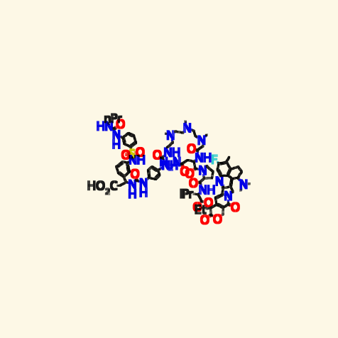 CCCNC(=O)Nc1cccc(S(=O)(=O)Nc2cccc(C(CC(=O)O)NC(=O)Nc3ccc(NC(=O)NCCN(C)CCN(C)CCN(C)CC(=O)NC(CC(N)=O)C(=O)N4CCCC4C(=O)NC(C(=O)OC4(CC)C(=O)OCc5c4cc4n(c5=O)Cc5c-4nc4cc(F)c(C)c6c4c5C(N(C)C)CC6)C(C)C)cc3)c2)c1